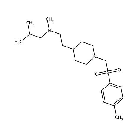 Cc1ccc(S(=O)(=O)CN2CCC(CCN(C)CC(C)C)CC2)cc1